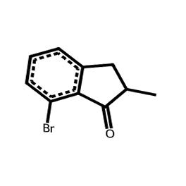 CC1Cc2cccc(Br)c2C1=O